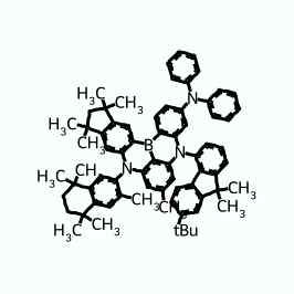 Cc1cc2c3c(c1)N(c1cccc4c1-c1ccc(C(C)(C)C)cc1C4(C)C)c1cc(N(c4ccccc4)c4ccccc4)ccc1B3c1cc3c(cc1N2c1cc2c(cc1C)C(C)(C)CCC2(C)C)C(C)(C)CC3(C)C